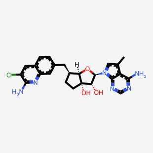 Cc1cn([C@@H]2O[C@@H]3[C@H](Cc4ccc5cc(Cl)c(N)nc5c4)CC[C@]3(O)[C@H]2O)c2ncnc(N)c12